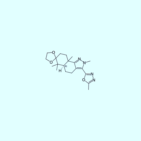 Cc1nnc(-c2c3c(nn2C)C2(C)CCC4(OCCO4)C(C)(C)[C@@H]2CC3)o1